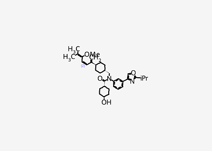 C=C(/C=C\C(OC)=C(C)C)[C@H]1CC[C@H](CN(c2cccc(-c3coc(C(C)C)n3)c2)C(=O)[C@H]2CC[C@H](O)CC2)CC1